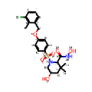 Cc1c(F)cccc1COc1ccc(S(=O)(=O)N2C[C@H](O)CC(C)(C)C2C(=O)NO)cc1